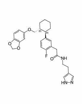 O=C(Cc1cc([C@@H]2CCCC[C@H]2COc2ccc3c(c2)OCO3)ccc1F)NCCc1cn[nH]c1